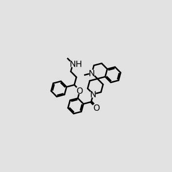 CNCCC(Oc1ccccc1C(=O)N1CCC2(CC1)c1ccccc1CCN2C)c1ccccc1